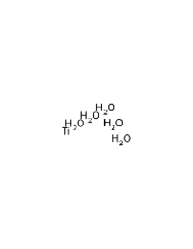 O.O.O.O.O.[Ti]